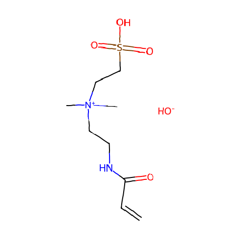 C=CC(=O)NCC[N+](C)(C)CCS(=O)(=O)O.[OH-]